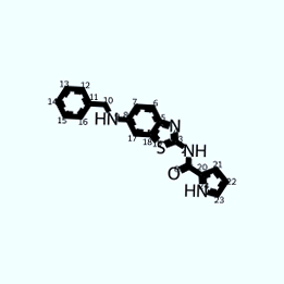 O=C(Nc1nc2ccc(NCc3ccccc3)cc2s1)c1ccc[nH]1